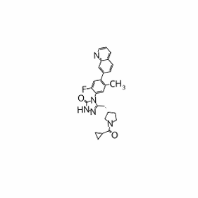 Cc1cc(-n2c(C[C@@H]3CCN(C(=O)C4CC4)C3)n[nH]c2=O)c(F)cc1-c1ccc2cccnc2c1